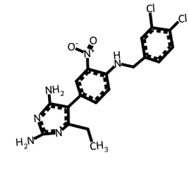 CCc1nc(N)nc(N)c1-c1ccc(NCc2ccc(Cl)c(Cl)c2)c([N+](=O)[O-])c1